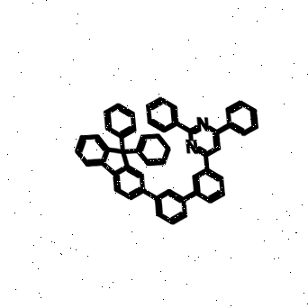 C1=CC(C2(c3ccccc3)c3ccccc3-c3ccc(-c4cccc(-c5cccc(-c6cc(-c7ccccc7)nc(-c7ccccc7)n6)c5)c4)cc32)=CCC1